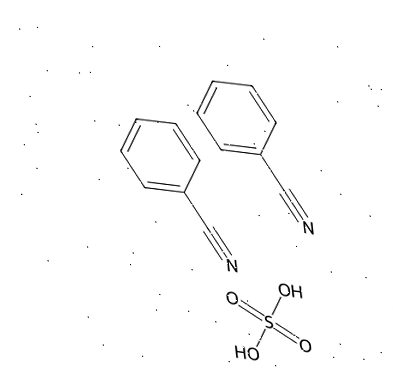 N#Cc1ccccc1.N#Cc1ccccc1.O=S(=O)(O)O